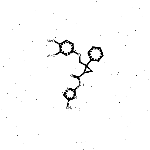 COc1ccc(OCC2(c3ccccc3)CC2C(=O)Nc2nc(C)cs2)cc1OC